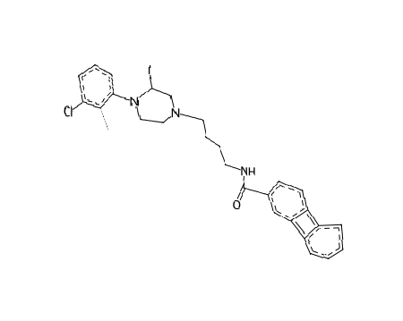 Cc1c(Cl)cccc1N1CCN(CCCCNC(=O)c2ccc3c(c2)=c2ccccc2=3)CC1I